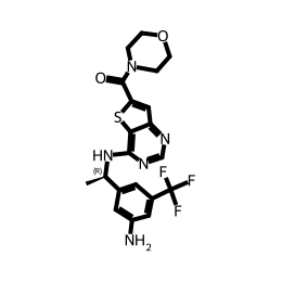 C[C@@H](Nc1ncnc2cc(C(=O)N3CCOCC3)sc12)c1cc(N)cc(C(F)(F)F)c1